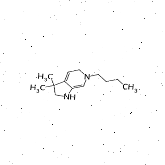 CCCCN1C=C2NCC(C)(C)C2=CC1